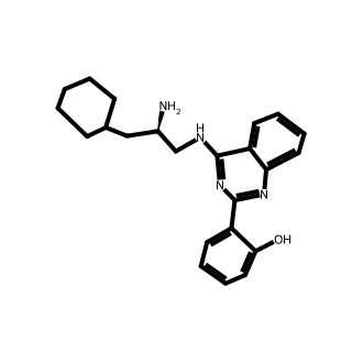 N[C@@H](CNc1nc(-c2ccccc2O)nc2ccccc12)CC1CCCCC1